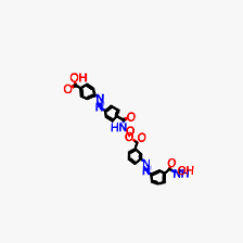 O=C(O)c1ccc(/N=N/c2ccc(C(=O)NOOC(=O)c3cccc(/N=N/c4cccc(C(=O)NO)c4)c3)cc2)cc1